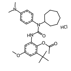 COc1cc(NC(=O)N(c2ccc(N(C)C)cc2)C2CCCCCC2)c(OC(C)=O)c(C(C)(C)C)c1.Cl